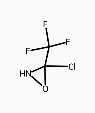 FC(F)(F)C1(Cl)NO1